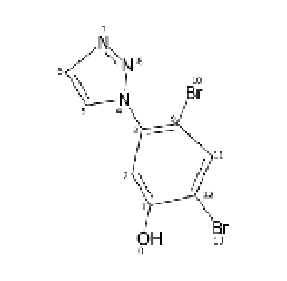 Oc1cc(-n2ccnn2)c(Br)cc1Br